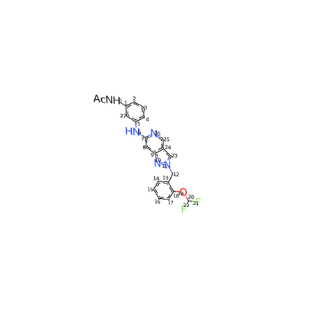 CC(=O)Nc1cccc(Nc2cc3nn(Cc4ccccc4OC(F)F)cc3cn2)c1